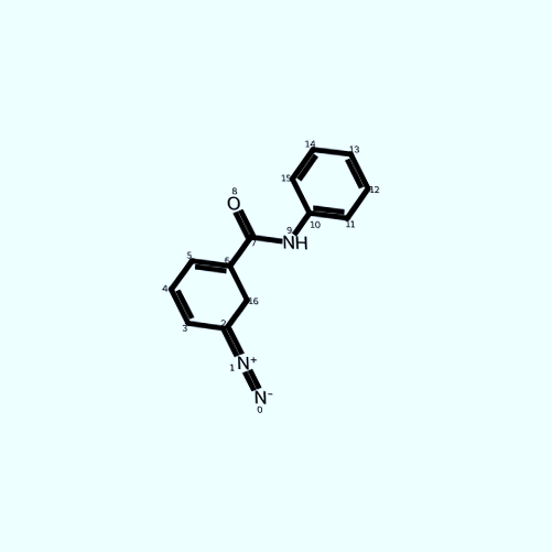 [N-]=[N+]=C1C=CC=C(C(=O)Nc2ccccc2)C1